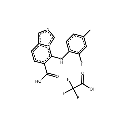 O=C(O)C(F)(F)F.O=C(O)c1ccc2cncn2c1Nc1ccc(I)cc1F